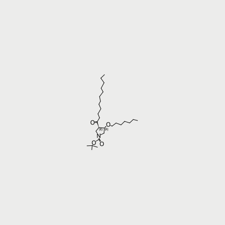 CCCCCCCCCCCC(=O)[C@@H]1CN(C(=O)OC(C)(C)C)C[C@@H]1OCCCCCCC